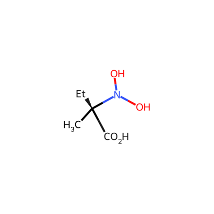 CC[C@](C)(C(=O)O)N(O)O